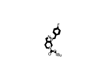 CC(C)(C)OC(=O)N1CCc2cnn(Cc3ccc(F)cc3)c2C1